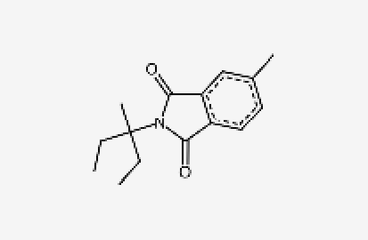 CCC(C)(CC)N1C(=O)c2ccc(C)cc2C1=O